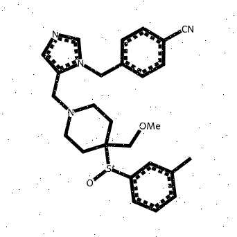 COCC1([S+]([O-])c2cccc(C)c2)CCN(Cc2cncn2Cc2ccc(C#N)cc2)CC1